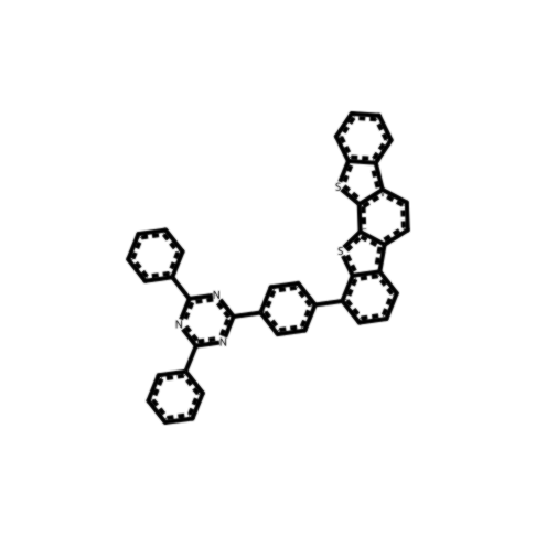 c1ccc(-c2nc(-c3ccccc3)nc(-c3ccc(-c4cccc5c4sc4c5ccc5c6ccccc6sc54)cc3)n2)cc1